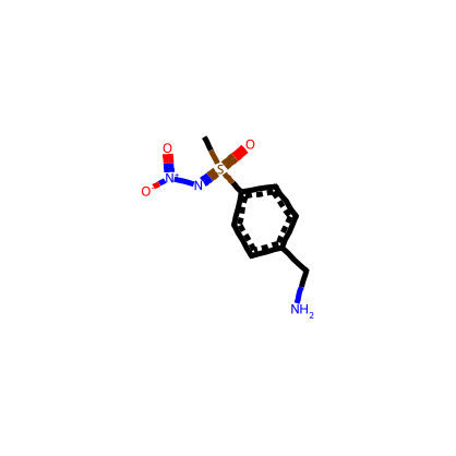 CS(=O)(=N[N+](=O)[O-])c1ccc(CN)cc1